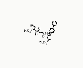 CCOC(=O)C(C)CC(Cc1ccc(-c2ccccc2)cc1)NC(=O)CCC(=O)NC(CC(C)C)C(=O)O